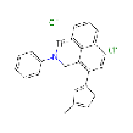 CC1=CCC(c2ccc3ccccc3c2C[N]([Ti+2])c2ccccc2)=C1.[Cl-].[Cl-]